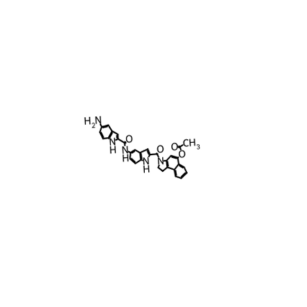 CC(=O)Oc1cc2c(c3ccccc13)CCN2C(=O)c1cc2cc(NC(=O)c3cc4cc(N)ccc4[nH]3)ccc2[nH]1